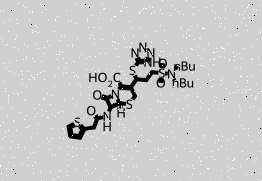 CCCCN(CCCC)S(=O)(=O)CCC(Sc1nnn[nH]1)C1=C(C(=O)O)N2C(=O)C(NC(=O)Cc3cccs3)[C@@H]2SC1